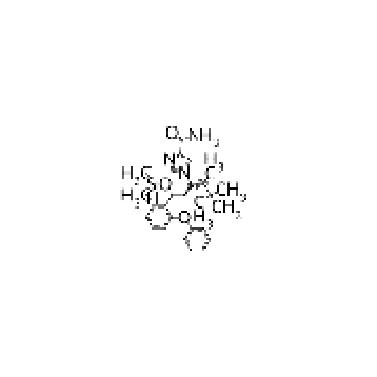 C[C@H]([C@@H](CC(O[SiH](C)C)c1ccccc1Oc1ccccc1)n1cnc(C(N)=O)c1)C(C)(C)C